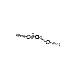 CCCCCC1CCC(CCCOc2ccc(C(=O)OC3CCC(CCCCC)CC3)cc2)CC1